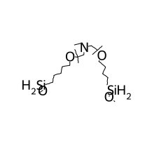 CCN(CC(C)(C)OCCCCC[SiH2]OC)CC(C)(C)OCCCCC[SiH2]OC